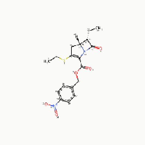 CCSC1=C(C(=O)OCc2ccc([N+](=O)[O-])cc2)N2C(=O)[C@@H](CC)[C@H]2C1